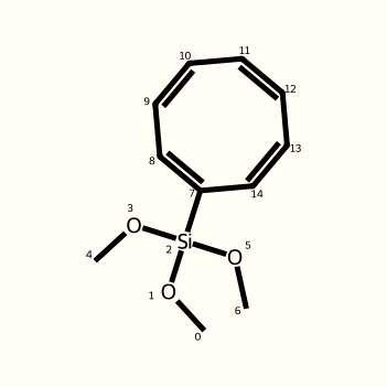 CO[Si](OC)(OC)C1=C/C=C\C=C/C=C\1